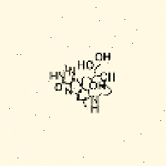 C=c1nc2c(c(=O)[nH]1)=Nc1cc(C)c(NC3CCCC3)cc1N2C[C@H](O)[C@H](O)[C@H](O)CO